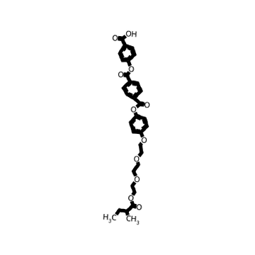 CCC(C)C(=O)OCCOCCOCCOc1ccc(OC(=O)c2ccc(C(=O)Oc3ccc(C(=O)O)cc3)cc2)cc1